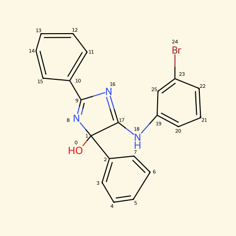 OC1(c2ccccc2)N=C(c2ccccc2)N=C1Nc1cccc(Br)c1